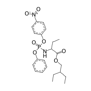 CCC(CC)COC(=O)C(CC)NP(=O)(Oc1ccccc1)Oc1ccc([N+](=O)[O-])cc1